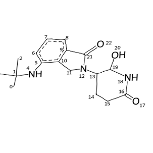 CC(C)(C)Nc1cccc2c1CN(C1CCC(=O)NC1O)C2=O